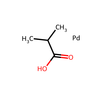 CC(C)C(=O)O.[Pd]